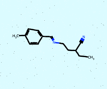 CCC(C#N)CCN=Cc1ccc(C)cc1